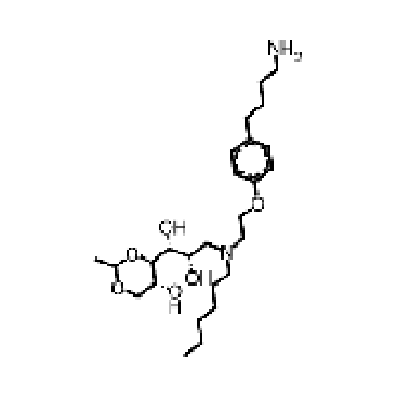 CCCCCCN(CCOc1ccc(CCCCN)cc1)C[C@H](O)[C@@H](O)[C@@H]1OC(C)OC[C@H]1O